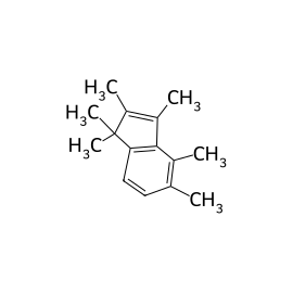 CC1=C(C)C(C)(C)c2ccc(C)c(C)c21